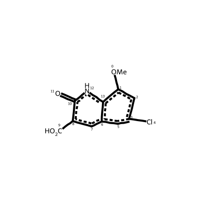 COc1cc(Cl)cc2cc(C(=O)O)c(=O)[nH]c12